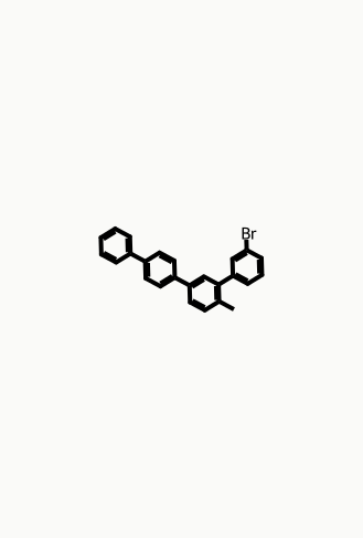 Cc1ccc(-c2ccc(-c3ccccc3)cc2)cc1-c1cccc(Br)c1